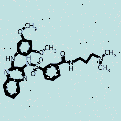 COc1cc(Nc2nc3ccccc3nc2NS(=O)(=O)c2cccc(C(=O)NCCCN(C)C)c2)cc(OC)c1